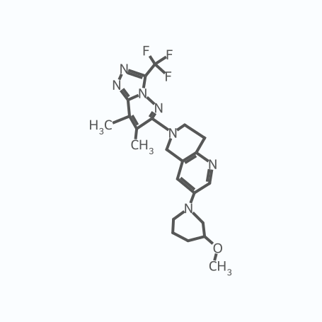 COC1CCCN(c2cnc3c(c2)CN(c2nn4c(C(F)(F)F)nnc4c(C)c2C)CC3)C1